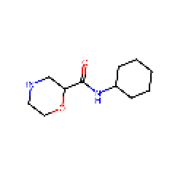 O=C(NC1CCCCC1)C1CNCCO1